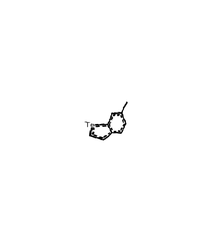 Cc1ccc2cc[te]c2c1